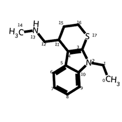 CCn1c2c(c3ccccc31)C(CNC)CCS2